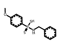 COc1ccc(P(=S)(S)NCc2ccccc2)cc1